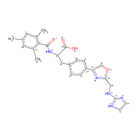 Cc1cc(C)c(C(=O)NC(Cc2ccc(-c3coc(CNc4ncc[nH]4)n3)cc2)C(=O)O)c(C)c1